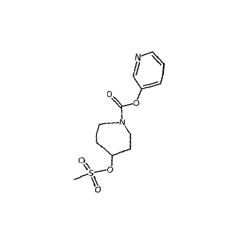 CS(=O)(=O)OC1CCN(C(=O)Oc2cccnc2)CC1